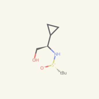 CC(C)(C)[S@+]([O-])N[C@@H](CO)C1CC1